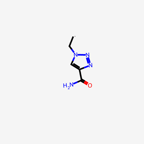 [CH2]Cn1cc(C(N)=O)nn1